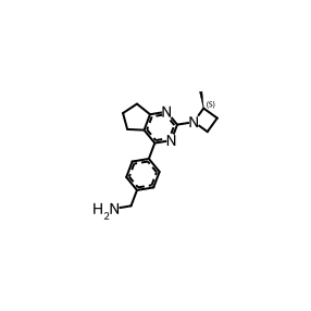 C[C@H]1CCN1c1nc2c(c(-c3ccc(CN)cc3)n1)CCC2